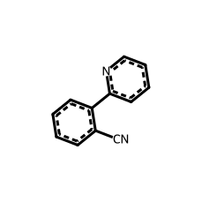 N#Cc1ccccc1-c1ccccn1